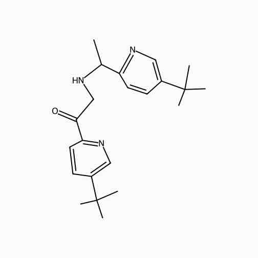 CC(NCC(=O)c1ccc(C(C)(C)C)cn1)c1ccc(C(C)(C)C)cn1